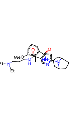 CCN(CC)CCCNC(=O)c1ccc(N2C3CCC2CC(NC(=O)c2cccc(OC)c2C)C3)nc1